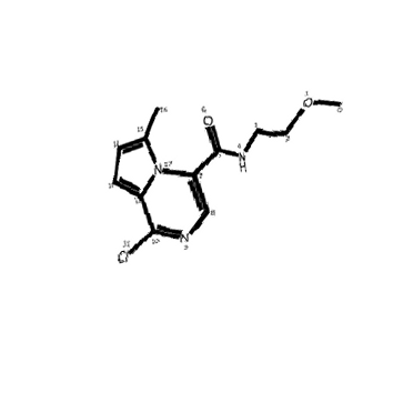 COCCNC(=O)c1cnc(Cl)c2ccc(C)n12